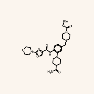 CC(C)(C)OC(=O)N1CCN(Cc2ccc(NC(=O)c3coc(N4CCOCC4)n3)c(N3CCC(C(N)=O)CC3)c2)CC1